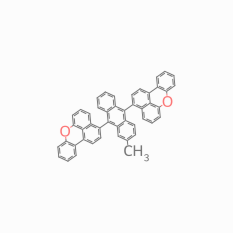 Cc1ccc2c(-c3ccc4c5c(cccc35)Oc3ccccc3-4)c3ccccc3c(-c3ccc4c5c(cccc35)Oc3ccccc3-4)c2c1